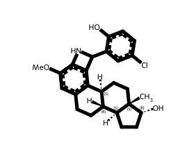 COc1cc2c(c3c1NC3c1cc(Cl)ccc1O)[C@H]1CC[C@]3(C)[C@H](O)CC[C@H]3[C@@H]1CC2